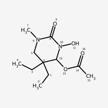 CCC1(CC)CN(C)C(=O)N(O)C1OC(C)=O